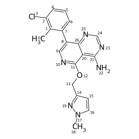 Cc1c(Cl)cccc1-c1cnc(OCc2ccn(C)n2)c2c(N)ncnc12